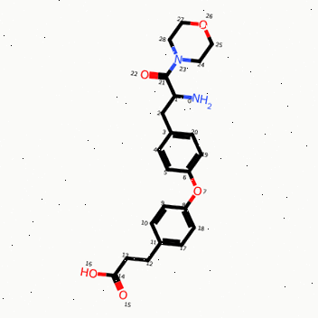 NC(Cc1ccc(Oc2ccc(CCC(=O)O)cc2)cc1)C(=O)N1CCOCC1